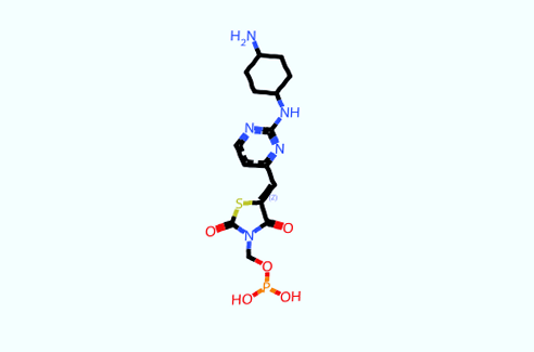 NC1CCC(Nc2nccc(/C=C3\SC(=O)N(COP(O)O)C3=O)n2)CC1